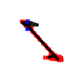 CN[C@H](C(=O)N[C@@H](CCCCNC(=O)CCOCCOCCOCCOCCOCCCCCOCCOCCOCCOCCOCCOCCN(C[C@H](O)[C@@H](O)[C@H](O)[C@H](O)CO)C[C@H](O)[C@@H](O)[C@H](O)[C@H](O)CO)C(=O)Nc1ccc(CO)cc1)C(C)C